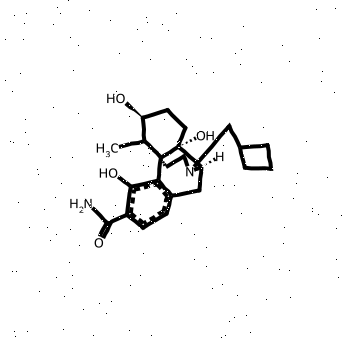 CC1[C@@H](O)CC[C@@]2(O)[C@H]3Cc4ccc(C(N)=O)c(O)c4[C@@]12CCN3CC1CCC1